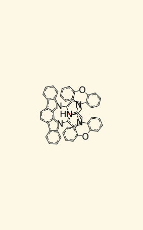 C1=CC(N2c3ccccc3Oc3ccccc32)NC(n2c3ccccc3c3ccc4c5ccccc5n(-c5cccc(N6c7ccccc7Oc7ccccc76)n5)c4c32)=C1